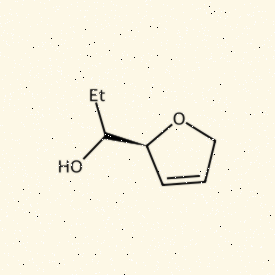 CCC(O)[C@@H]1C=CCO1